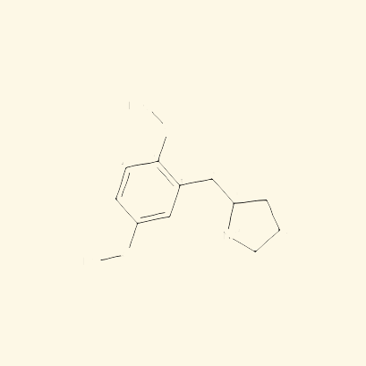 COc1ccc(OC)c(CC2CCCN2)c1